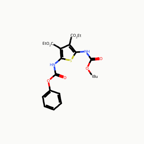 CCOC(=O)c1c(NC(=O)Oc2ccccc2)sc(NC(=O)OC(C)(C)C)c1C(=O)OCC